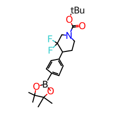 CC(C)(C)OC(=O)N1CCC(c2ccc(B3OC(C)(C)C(C)(C)O3)cc2)C(F)(F)C1